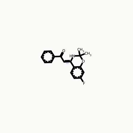 CC1(C)N/C(=C\C(=O)c2ccccc2)c2ccc(F)cc2O1